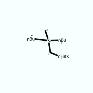 CCCCCCC[Si](C)(CCCC)CCCC